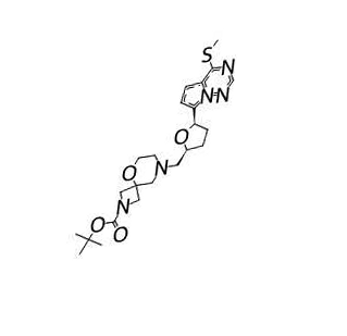 CSc1ncnn2c([C@H]3CC[C@@H](CN4CCOC5(C4)CN(C(=O)OC(C)(C)C)C5)O3)ccc12